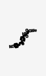 COC(=O)CNC(=O)CC1CCN(C(=O)CCc2ccc(C#N)cc2)CC1